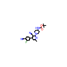 Cc1cc(-c2ccc(C#N)c(F)c2)c(C#N)c(N2CCC(NC(=O)OC(C)(C)C)CC2)n1